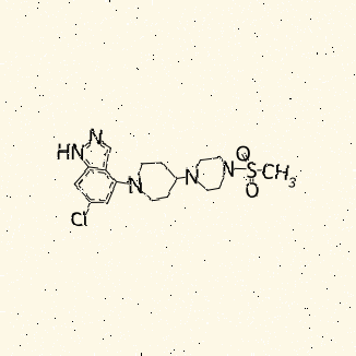 CS(=O)(=O)N1CCN(C2CCN(c3cc(Cl)cc4[nH]ncc34)CC2)CC1